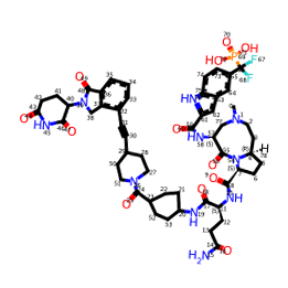 CN1CC[C@H]2CC[C@@H](C(=O)N[C@@H](CCC(N)=O)C(=O)NC3CCC(C(=O)N4CCC(C#Cc5cccc6c5CN(C5CCC(=O)NC5=O)C6=O)CC4)CC3)N2C(=O)[C@@H](NC(=O)c2cc3cc(C(F)(F)P(=O)(O)O)ccc3[nH]2)C1